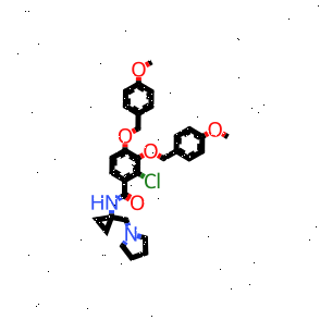 COc1ccc(COc2ccc(C(=O)NC3(CN4CCCC4)CC3)c(Cl)c2OCc2ccc(OC)cc2)cc1